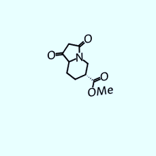 COC(=O)[C@@H]1CCC2C(=O)CC(=O)N2C1